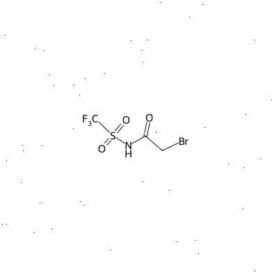 O=C(CBr)NS(=O)(=O)C(F)(F)F